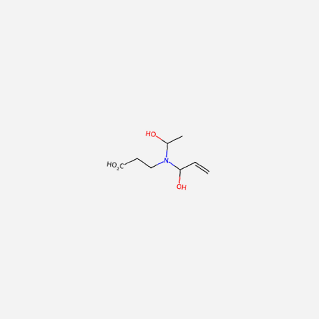 C=CC(O)N(CCC(=O)O)C(C)O